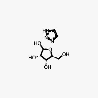 OC[C@@H]1OC(O)[C@@H](O)[C@H]1O.c1c[nH]nn1